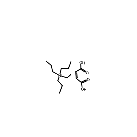 CCC[N+](CC)(CCC)CCC.O=C(O)/C=C\C(=O)O